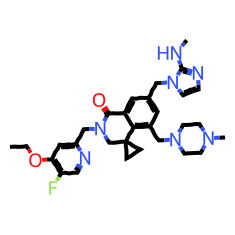 CCOc1cc(CN2CC3(CC3)c3c(CN4CCN(C)CC4)cc(Cn4ccnc4NC)cc3C2=O)ncc1F